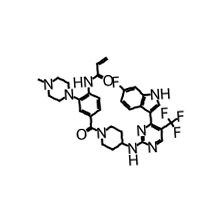 C=CC(=O)Nc1ccc(C(=O)N2CCC(Nc3ncc(C(F)(F)F)c(-c4c[nH]c5cc(F)ccc45)n3)CC2)cc1N1CCN(C)CC1